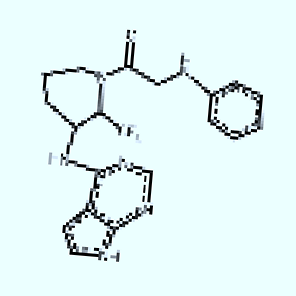 O=C(CNc1ccccc1)N1CCCC(Nc2ncnc3[nH]ccc23)C1C(F)(F)F